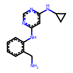 NCc1ccccc1Nc1cc(NC2CC2)ncn1